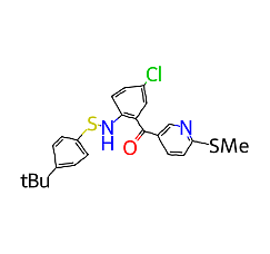 CSc1ccc(C(=O)c2cc(Cl)ccc2NSc2ccc(C(C)(C)C)cc2)cn1